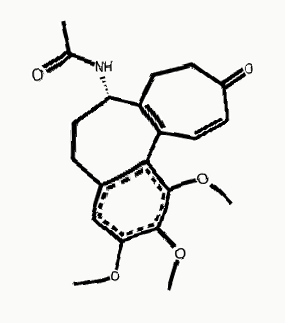 COc1cc2c(c(OC)c1OC)C1=C(CCC(=O)C=C1)[C@@H](NC(C)=O)CC2